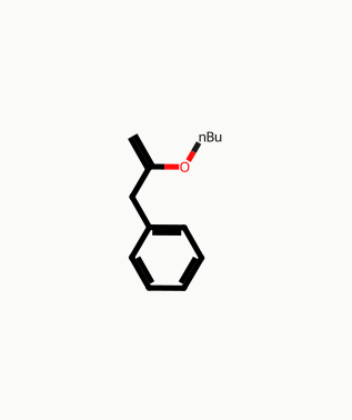 C=C(Cc1ccccc1)OCCCC